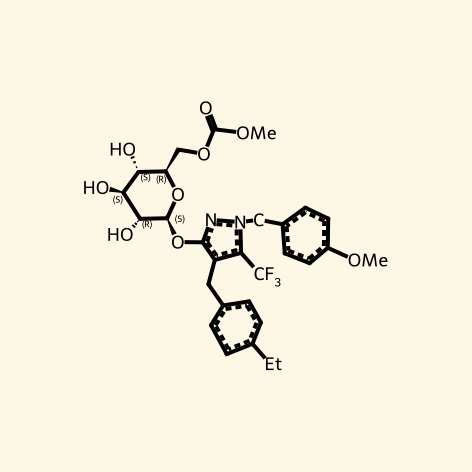 CCc1ccc(Cc2c(O[C@@H]3O[C@H](COC(=O)OC)[C@@H](O)[C@H](O)[C@H]3O)nn(Cc3ccc(OC)cc3)c2C(F)(F)F)cc1